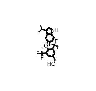 CC(C)c1c[nH]c2ccc(Oc3c(C(F)(F)F)cc(CO)cc3C(F)(F)F)cc12